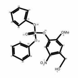 COc1cc(CO)c([N+](=O)[O-])cc1OP(=O)(Oc1ccccc1)Oc1ccccc1